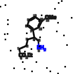 CCOC(=O)CCCC(CN)c1cccc(OC)c1